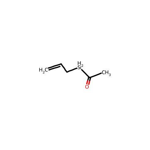 C=CC[SiH2]C(C)=O